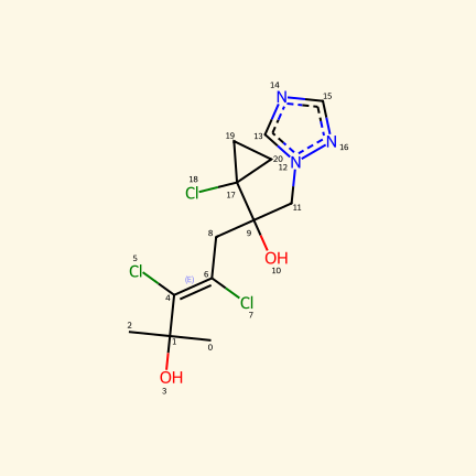 CC(C)(O)/C(Cl)=C(\Cl)CC(O)(Cn1cncn1)C1(Cl)CC1